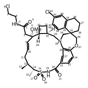 CO[C@@]1(CC(=O)NCCCl)/C=C/C[C@H](C)[C@@H](C)S(=O)(=O)NC(=O)c2ccc3c(c2)N(C[C@@H]2CC[C@H]21)C[C@@]1(CCCc2cc(Cl)ccc21)CO3